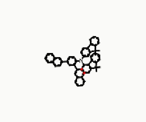 CC1(C)c2ccccc2-c2ccc(N(c3ccc(-c4ccc5ccccc5c4)cc3-c3ccc4ccccc4c3)c3cccc4c3-c3ccccc3C4(C)C)cc21